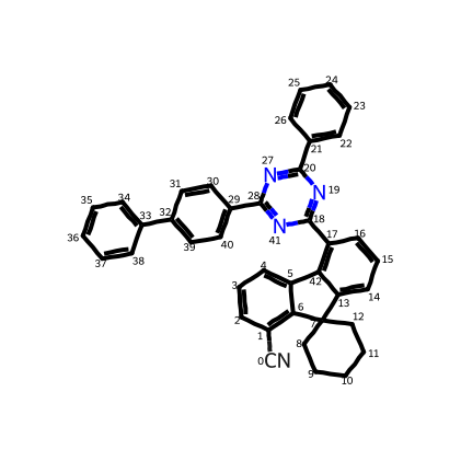 N#Cc1cccc2c1C1(CCCCC1)c1cccc(-c3nc(-c4ccccc4)nc(-c4ccc(-c5ccccc5)cc4)n3)c1-2